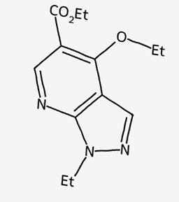 CCOC(=O)c1cnc2c(cnn2CC)c1OCC